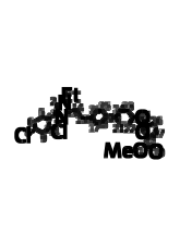 CCn1cc(-c2ccc(Cl)cc2Cl)nc1C=Cc1ccc(-c2ccc(Oc3ccc(C(=O)OC)o3)cc2)cc1